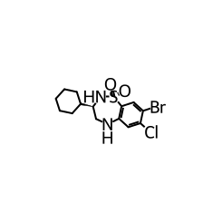 O=S1(=O)N[C@H](C2CCCCC2)CNc2cc(Cl)c(Br)cc21